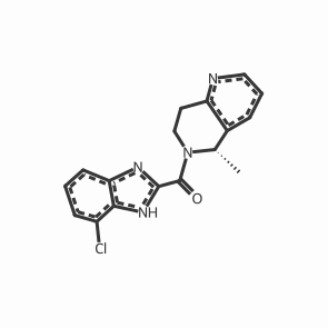 C[C@H]1c2cccnc2CCN1C(=O)c1nc2cccc(Cl)c2[nH]1